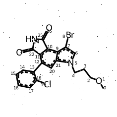 COCCCn1cc(Br)c2c3c(c(-c4ccccc4Cl)cc21)C(=O)NC3=O